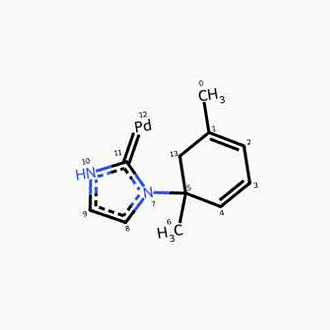 CC1=CC=CC(C)(n2cc[nH][c]2=[Pd])C1